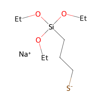 CCO[Si](CCC[S-])(OCC)OCC.[Na+]